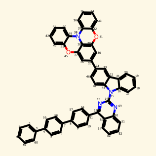 c1ccc(-c2ccc(-c3ccc(-c4nc(-n5c6ccccc6c6cc(-c7cc8c9c(c7)Oc7ccccc7N9c7ccccc7O8)ccc65)nc5ccccc45)cc3)cc2)cc1